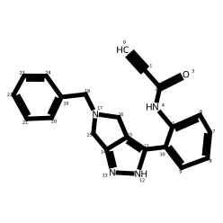 C#CC(=O)Nc1ccccc1-c1[nH]nc2c1CN(Cc1ccccc1)C2